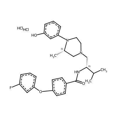 CC(C)[C@@H](CN1CCN(c2cccc(O)c2)[C@@H](C)C1)NC(=O)c1ccc(Oc2cccc(F)c2)cc1.Cl.Cl